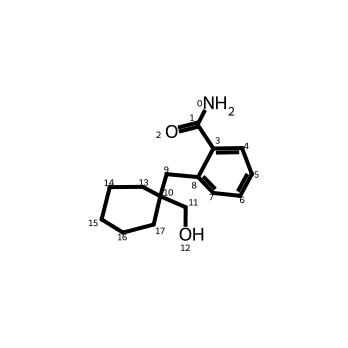 NC(=O)c1ccccc1CC1(CO)CCCCC1